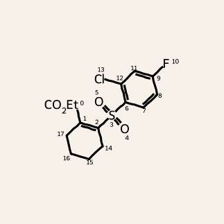 CCOC(=O)C1=C(S(=O)(=O)c2ccc(F)cc2Cl)CCCC1